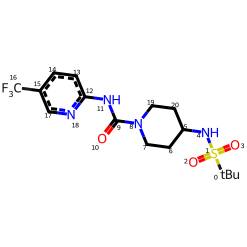 CC(C)(C)S(=O)(=O)NC1CCN(C(=O)Nc2ccc(C(F)(F)F)cn2)CC1